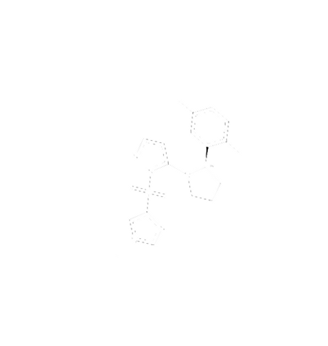 Cn1cnc(S(=O)(=O)n2nccc2N2CCC[C@@H]2c2cc(F)ccc2F)c1